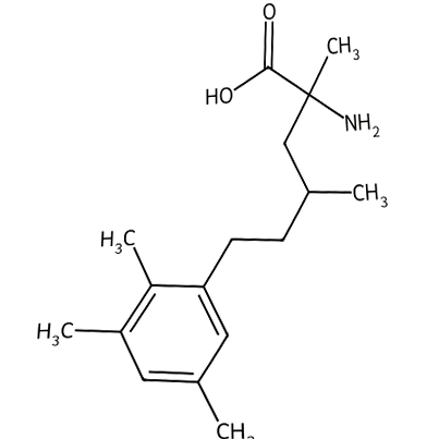 Cc1cc(C)c(C)c(CCC(C)CC(C)(N)C(=O)O)c1